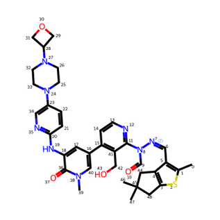 Cc1sc2c(c1/C=N\N(C=O)c1nccc(-c3cc(Nc4ccc(N5CCN(C6COC6)CC5)cn4)c(=O)n(C)c3)c1CO)CC(C)(C)C2